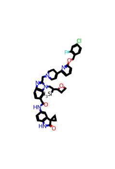 O=C(Nc1ccc2c(c1)C1(CC1)C(=O)N2)c1ccc2nc(CN3CC=C(c4cccc(OCc5ccc(Cl)cc5F)n4)CC3)n(CC([SiH3])C3CCO3)c2c1